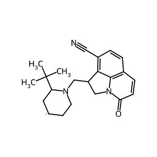 CC(C)(C)C1C[CH]CCN1CC1Cn2c(=O)ccc3ccc(C#N)c1c32